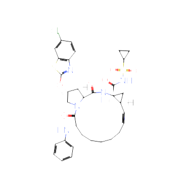 O=C1N[C@]2(C(=O)NS(=O)(=O)C3CC3)C[C@H]2/C=C\CCCCC[C@H](Nc2ccccc2)C(=O)N2C[C@H](Oc3nc4ccc(Cl)cc4s3)C[C@@H]12